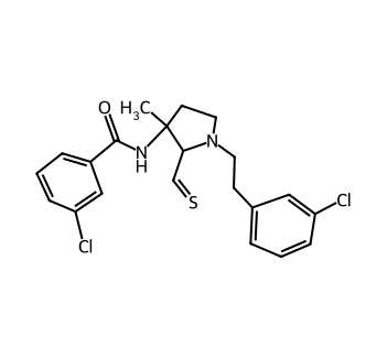 CC1(NC(=O)c2cccc(Cl)c2)CCN(CCc2cccc(Cl)c2)C1C=S